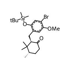 COc1cc(C[C@H]2C(=O)CC[C@H](C)C2(C)C)c(O[Si](C)(C)C(C)(C)C)cc1Br